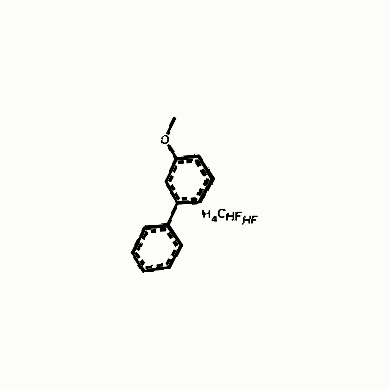 C.COc1cccc(-c2ccccc2)c1.F.F